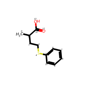 CC(CCSc1ccccc1)C(=O)O